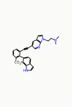 CN(C)CCn1ccc2cc(C#Cc3cccc(C(=O)O)c3-c3ccc4cc[nH]c4c3)cnc21